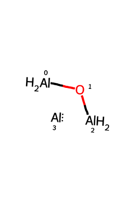 [AlH2][O][AlH2].[Al]